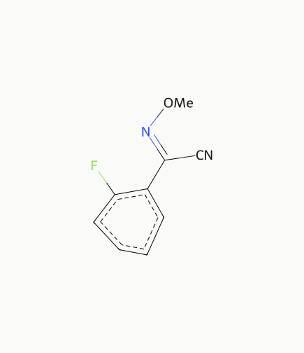 CON=C(C#N)c1ccccc1F